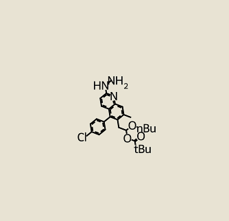 CCCCOC(Cc1c(C)cc2nc(NN)ccc2c1-c1ccc(Cl)cc1)OC(=O)C(C)(C)C